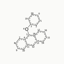 c1ccc(Oc2c3ccccc3cc3ccccc23)cc1